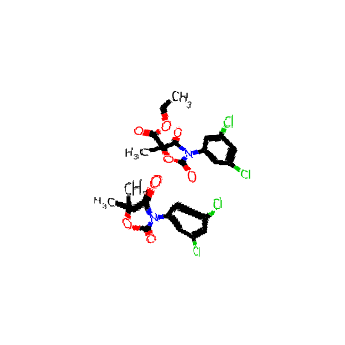 CC1(C)OC(=O)N(c2cc(Cl)cc(Cl)c2)C1=O.CCOC(=O)C1(C)OC(=O)N(c2cc(Cl)cc(Cl)c2)C1=O